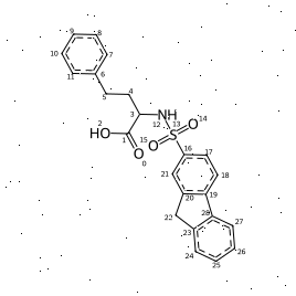 O=C(O)C(CCc1ccccc1)NS(=O)(=O)c1ccc2c(c1)Cc1ccccc1-2